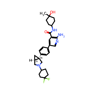 CC1(O)CCC(NC(=O)c2cc(-c3ccc([C@@]45C[C@@H]4CN(C4CCC(F)(F)CC4)C5)cc3)cnc2N)CC1